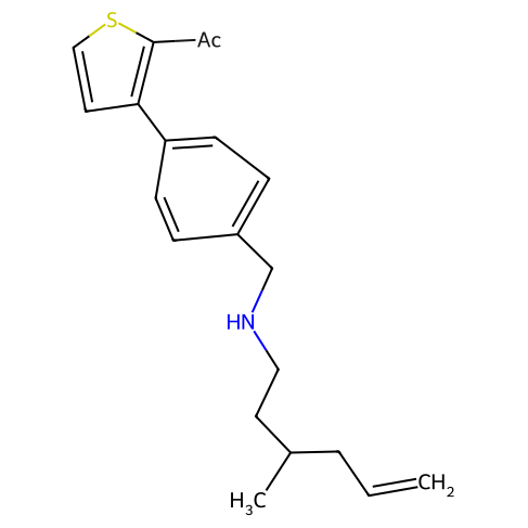 C=CCC(C)CCNCc1ccc(-c2ccsc2C(C)=O)cc1